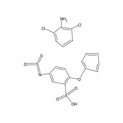 Nc1c(Cl)cccc1Cl.O=S(=O)=Nc1ccc(Oc2ccccc2)c(S(=O)(=O)O)c1